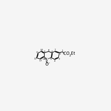 CCOC(=O)Cc1ccc2c(c1)Cc1ccccc1[S+]2[O-]